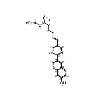 CCCCCOC(C)CCC/C=C/c1cnc(-c2ccc3cc(O)ccc3c2)nc1